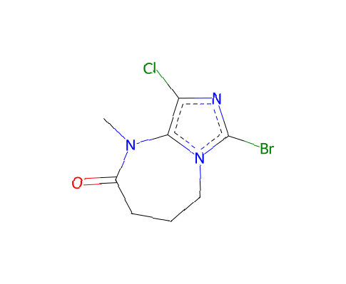 CN1C(=O)CCCn2c(Br)nc(Cl)c21